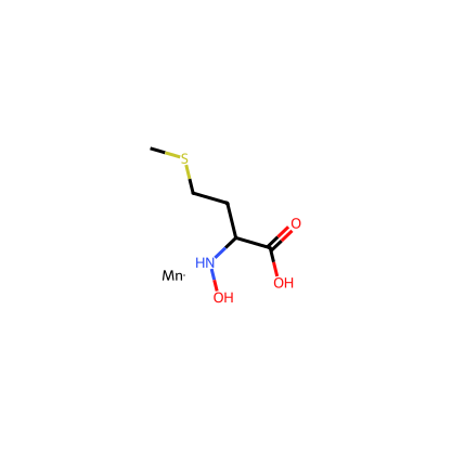 CSCCC(NO)C(=O)O.[Mn]